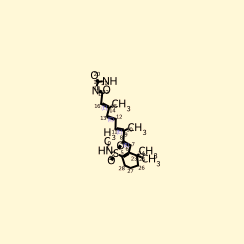 CNS(=O)(=O)C1=C(/C=C/C(C)=C/C=C/C(C)=C/c2nc(=O)[nH]o2)C(C)(C)CCC1